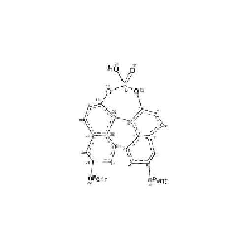 CCCCCc1ccc2c3c(ccc2c1)OP(=O)(O)Oc1ccc2cc(CCCCC)ccc2c1-3